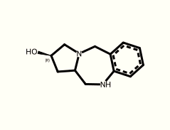 O[C@@H]1CC2CNc3ccccc3CN2C1